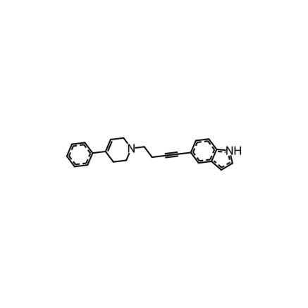 C(#Cc1ccc2[nH]ccc2c1)CCN1CC=C(c2ccccc2)CC1